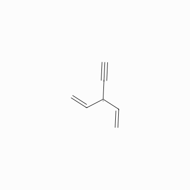 C#C[C](C=C)C=C